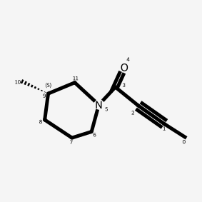 CC#CC(=O)N1CCC[C@H](C)C1